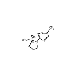 CC(C)(C)[C@]1(C)CCCN1c1ccc(C(F)(F)F)cc1